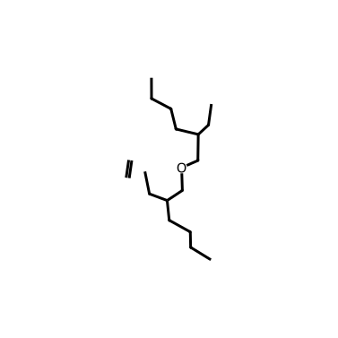 C=C.CCCCC(CC)COCC(CC)CCCC